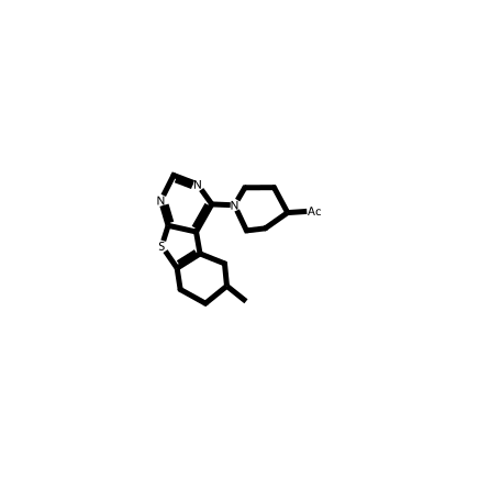 CC(=O)C1CCN(c2ncnc3sc4c(c23)CC(C)CC4)CC1